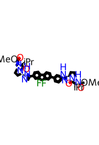 COC(=O)N[C@H](C(=O)N1CCC[C@H]1c1nc2ccc(-c3ccc4c(c3)C(F)(F)c3cc(-c5cnc([C@@H]6CCCN6C(=O)[C@H](C(C)C)N(C)C(=O)OC)[nH]5)ccc3-4)cc2[nH]1)C(C)C